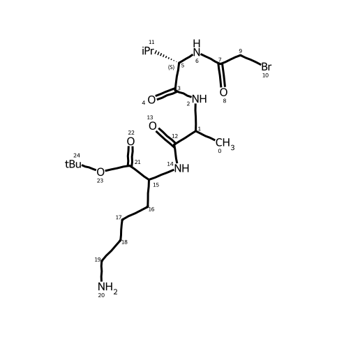 CC(NC(=O)[C@@H](NC(=O)CBr)C(C)C)C(=O)NC(CCCCN)C(=O)OC(C)(C)C